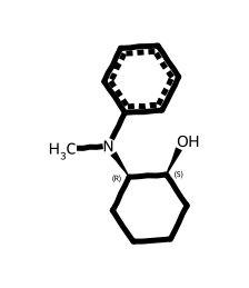 CN(c1ccccc1)[C@@H]1CCCC[C@@H]1O